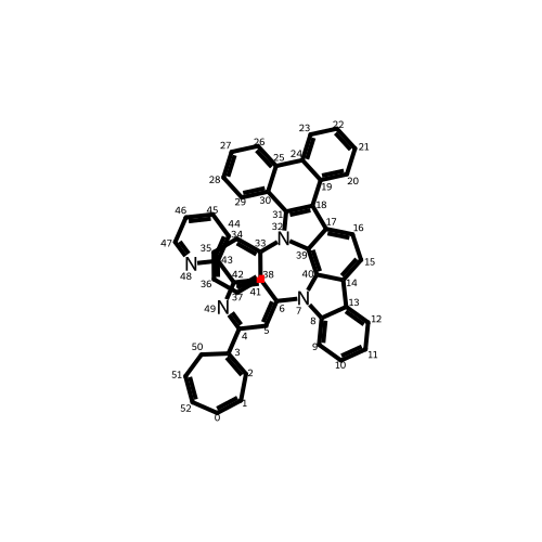 C1=CC=C(c2cc(-n3c4ccccc4c4ccc5c6c7ccccc7c7ccccc7c6n(-c6ccccc6)c5c43)cc(-c3ccccn3)n2)CC=C1